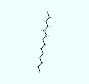 CCCCCCCCOOCCCC